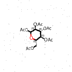 CC(=O)OC[C@@H]1OC(OC(C)=O)[C@@H](OC(C)=O)[C@H](OC(C)=O)[C@H]1OC(C)=O